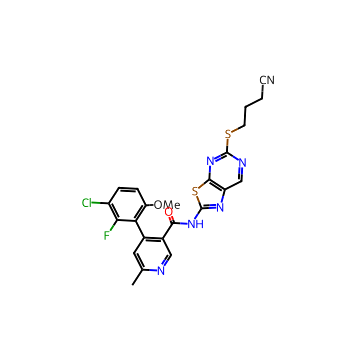 COc1ccc(Cl)c(F)c1-c1cc(C)ncc1C(=O)Nc1nc2cnc(SCCCC#N)nc2s1